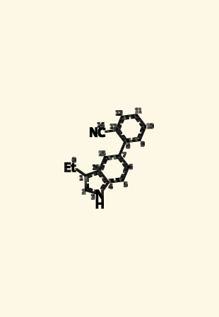 CCc1c[nH]c2ccc(-c3ccccc3C#N)cc12